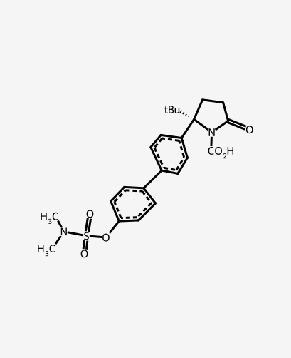 CN(C)S(=O)(=O)Oc1ccc(-c2ccc([C@@]3(C(C)(C)C)CCC(=O)N3C(=O)O)cc2)cc1